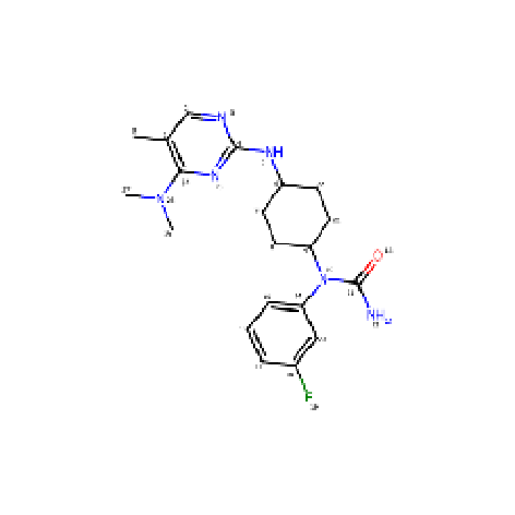 Cc1cnc(NC2CCC(N(C(N)=O)c3cccc(F)c3)CC2)nc1N(C)C